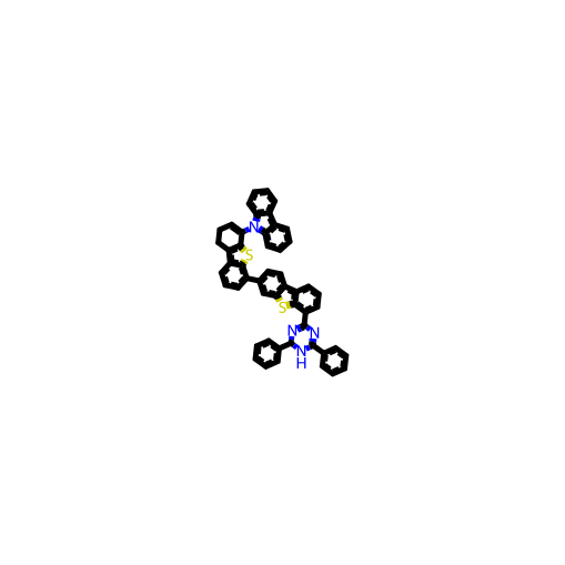 C1=C(n2c3ccccc3c3ccccc32)c2sc3c(-c4ccc5c(c4)sc4c(C6=NC(c7ccccc7)NC(c7ccccc7)=N6)cccc45)cccc3c2CC1